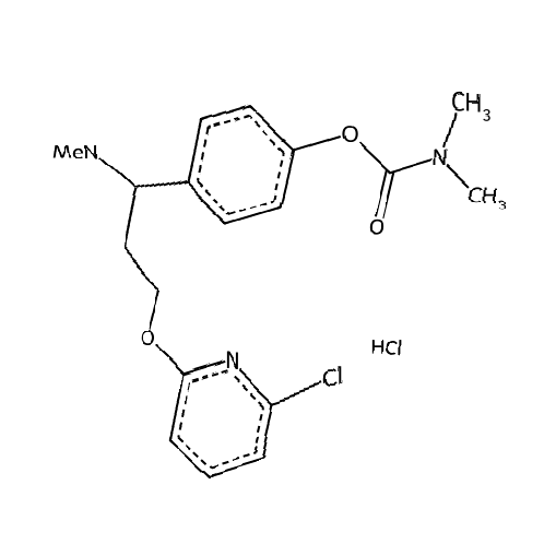 CNC(CCOc1cccc(Cl)n1)c1ccc(OC(=O)N(C)C)cc1.Cl